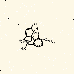 COc1ccc2c3c1O[C@H]1C(O)=CC=C4[C@@H](C2)N(C)CC[C@]431